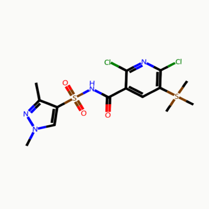 Cc1nn(C)cc1S(=O)(=O)NC(=O)c1cc(S(C)(C)C)c(Cl)nc1Cl